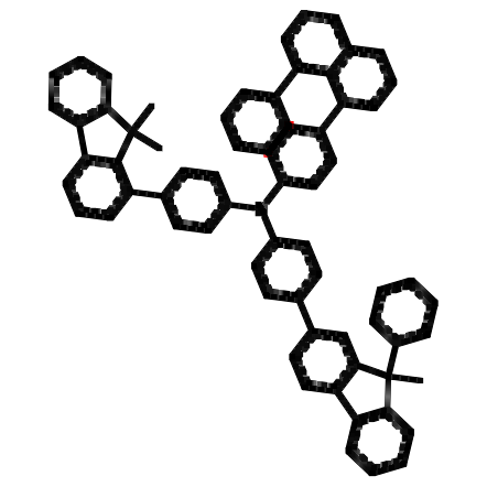 CC1(C)c2ccccc2-c2cccc(-c3ccc(N(c4ccc(-c5ccc6c(c5)C(C)(c5ccccc5)c5ccccc5-6)cc4)c4ccc(-c5cccc6cccc(-c7ccccc7)c56)cc4)cc3)c21